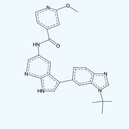 COc1cc(C(=O)Nc2cnc3[nH]cc(-c4ccc5ncn(C(C)(C)C)c5c4)c3c2)ccn1